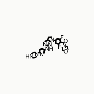 O=C(c1c(F)cc(-n2ccc3cnc(Nc4ccc(N5CCNCC5)nc4)nc32)cc1F)N1CCOCC1